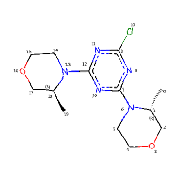 C[C@@H]1COCCN1c1nc(Cl)nc(N2CCOC[C@@H]2C)n1